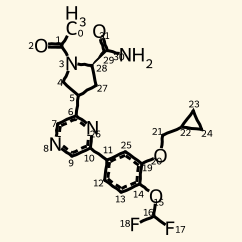 CC(=O)N1CC(c2cncc(-c3ccc(OC(F)F)c(OCC4CC4)c3)n2)C[C@@H]1C(N)=O